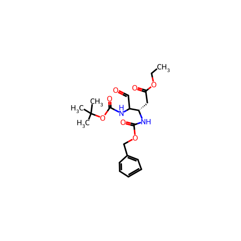 CCOC(=O)C[C@H](NC(=O)OCc1ccccc1)C(C=O)NC(=O)OC(C)(C)C